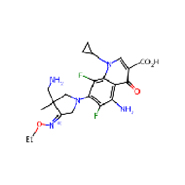 CCO/N=C1/CN(c2c(F)c(N)c3c(=O)c(C(=O)O)cn(C4CC4)c3c2F)CC1(C)CN